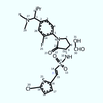 CC(C)C(c1ccc(N2CC[C@H](NS(=O)(=O)/C=C/c3ccc(Cl)s3)C2=O)c(F)c1)N(C)C.O=CO